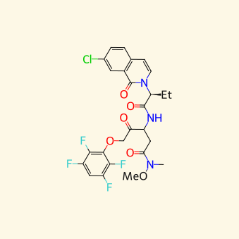 CC[C@@H](C(=O)NC(CC(=O)N(C)OC)C(=O)COc1c(F)c(F)cc(F)c1F)n1ccc2ccc(Cl)cc2c1=O